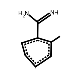 Cc1c[c]ccc1C(=N)N